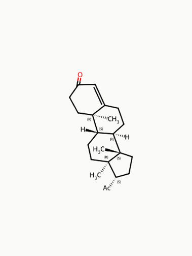 CC(=O)[C@H]1CC[C@@]2(C)[C@@H]3CCC4=CC(=O)CC[C@]4(C)[C@H]3CC[C@]12C